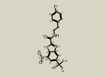 O=C(NCCc1ccc(F)cc1)c1nc2cc(C(F)(F)F)cc([N+](=O)[O-])c2s1